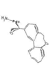 NNC(=O)c1ccc2c(c1)-c1ccccc1OC2